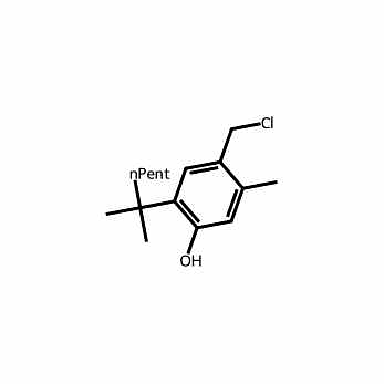 CCCCCC(C)(C)c1cc(CCl)c(C)cc1O